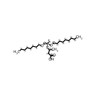 CCCCCCCCOOP(=S)(OOCCCCCCCC)SC(C)CC(=O)O